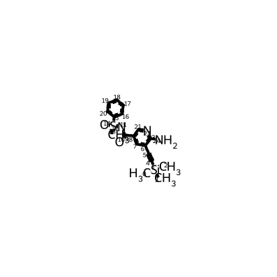 C[Si](C)(C)C#Cc1cc(C(=O)N=S(C)(=O)c2ccccc2)cnc1N